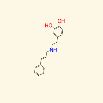 Oc1ccc(CCNCC=Cc2ccccc2)cc1O